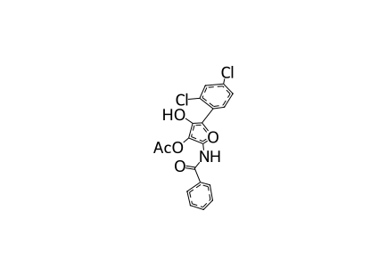 CC(=O)Oc1c(NC(=O)c2ccccc2)oc(-c2ccc(Cl)cc2Cl)c1O